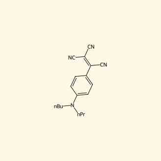 CCCCN(CCC)c1ccc(C(C#N)=C(C#N)C#N)cc1